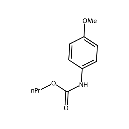 CCCOC(=O)Nc1ccc(OC)cc1